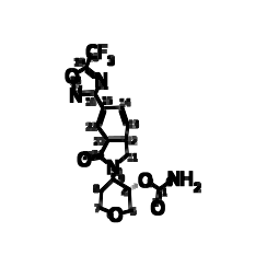 NC(=O)O[C@@H]1COCC[C@H]1N1Cc2ccc(-c3noc(C(F)(F)F)n3)cc2C1=O